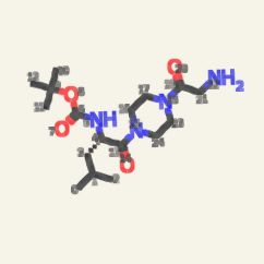 CC(C)C[C@H](NC(=O)OC(C)(C)C)C(=O)N1CCN(C(=O)CN)CC1